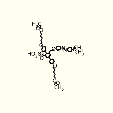 C=CC(=O)OCCCCCCOc1ccc(-c2cc(CCOc3ccc(N=Nc4ccc(N(C)C)cc4)cc3)c(-c3ccc(OCCCCCCOC(=O)C=C)cc3)c(C(=O)OC(=O)O)c2)cc1